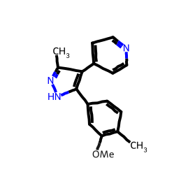 COc1cc(-c2[nH]nc(C)c2-c2ccncc2)ccc1C